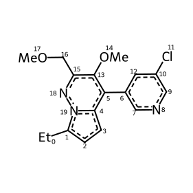 CCc1ccc2c(-c3cncc(Cl)c3)c(OC)c(COC)nn12